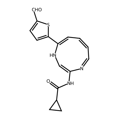 O=Cc1ccc(-c2ccccnc(NC(=O)C3CC3)c[nH]2)s1